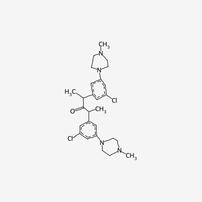 CC(C(=O)C(C)c1cc(Cl)cc(N2CCN(C)CC2)c1)c1cc(Cl)cc(N2CCN(C)CC2)c1